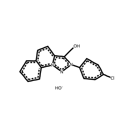 Oc1c2ccc3ccccc3[n+]2nn1-c1ccc(Cl)cc1.[OH-]